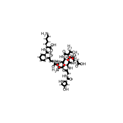 CC(C)C[C@H](NC(=O)[C@@H](NC(=O)[C@H](CC(=O)O)NC(=O)[C@H](CCC(N)=O)NC(=O)CNC(=O)[C@@H]1C[C@@H](O)CN1)C(C)C)C(=O)N[C@@H](C)C(=O)NCC(=O)N1CCCC[C@H]1C(=O)N[C@@H](CCCCN)C(=O)O